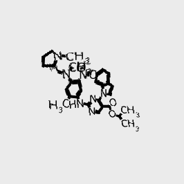 Cc1cc(N(C)C[C@H]2CCCN2C)c([N+](=O)[O-])cc1Nc1ncc(C(=O)OC(C)C)c(-n2ccc3ccccc32)n1